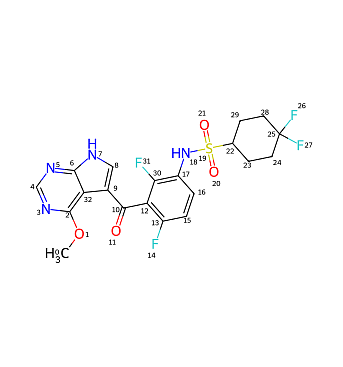 COc1ncnc2[nH]cc(C(=O)c3c(F)ccc(NS(=O)(=O)C4CCC(F)(F)CC4)c3F)c12